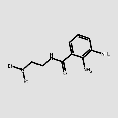 CCN(CC)CCNC(=O)c1cccc(N)c1N